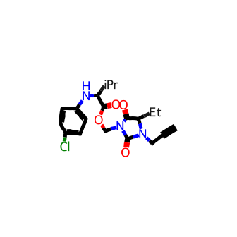 C#CCN1C(=O)N(COC(=O)C(Nc2ccc(Cl)cc2)C(C)C)C(=O)C1CC